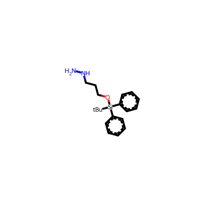 CC(C)(C)[Si](OCCCNN)(c1ccccc1)c1ccccc1